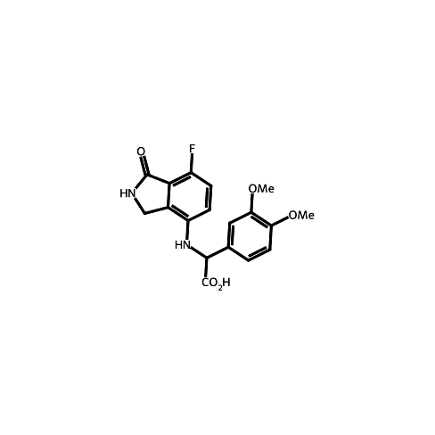 COc1ccc(C(Nc2ccc(F)c3c2CNC3=O)C(=O)O)cc1OC